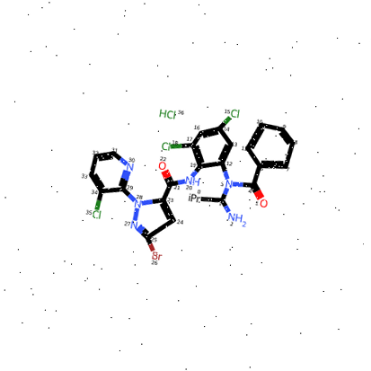 CC(C)C(N)N(C(=O)c1ccccc1)c1cc(Cl)cc(Cl)c1NC(=O)c1cc(Br)nn1-c1ncccc1Cl.Cl